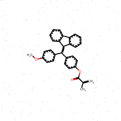 C=C(C)C(=O)Oc1ccc(C(=C2c3ccccc3-c3ccccc32)c2ccc(OC)cc2)cc1